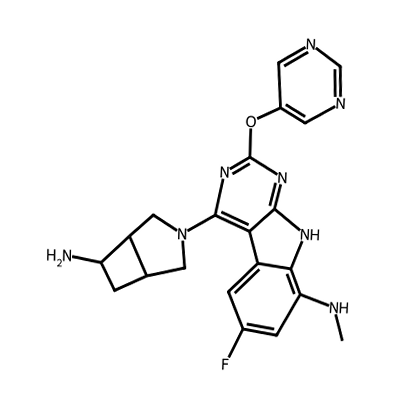 CNc1cc(F)cc2c1[nH]c1nc(Oc3cncnc3)nc(N3CC4CC(N)C4C3)c12